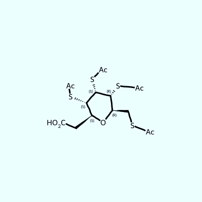 CC(=O)SC[C@H]1O[C@@H](CC(=O)O)[C@H](SC(C)=O)[C@H](SC(C)=O)[C@@H]1SC(C)=O